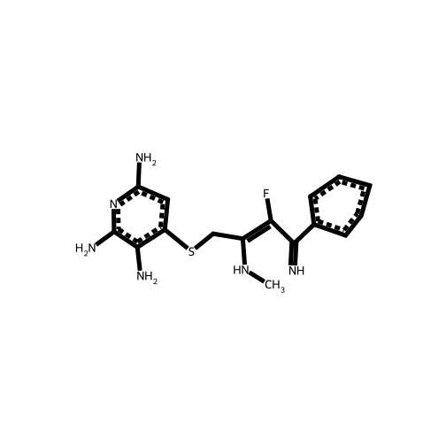 CN/C(CSc1cc(N)nc(N)c1N)=C(/F)C(=N)c1ccccc1